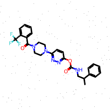 CC(CNC(=O)Oc1ccc(N2CCN(C(=O)c3ccccc3C(F)(F)F)CC2)nn1)c1ccccc1